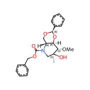 CO[C@H]1[C@@H]2O[C@H](c3ccccc3)OC[C@H]2N(C(=O)OCc2ccccc2)C[C@]1(C)O